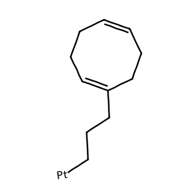 [Pt][CH2]CCC1=CCCC=CCC1